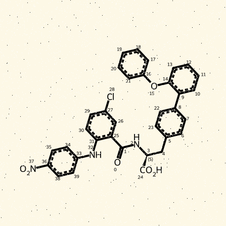 O=C(N[C@@H](Cc1ccc(-c2ccccc2Oc2ccccc2)cc1)C(=O)O)c1cc(Cl)ccc1Nc1ccc([N+](=O)[O-])cc1